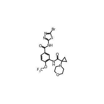 O=C(Nc1nnc(Br)s1)c1ccc(OC(F)(F)F)c(NC(=O)C2(N3CCOCC3)CC2)c1